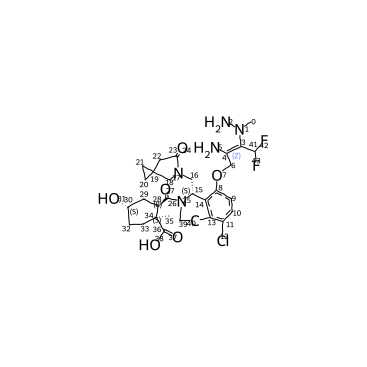 CN(N)/C(=C(\N)COc1ccc(Cl)c2c1[C@@H](CN1CC3(CC3)CC1=O)N(C(=O)[C@@H]1C[C@@H](O)CC[C@]1(C)C(=O)O)CC2)C(F)F